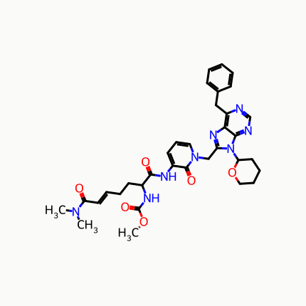 COC(=O)NC(CC/C=C/C(=O)N(C)C)C(=O)Nc1cccn(Cc2nc3c(Cc4ccccc4)ncnc3n2C2CCCCO2)c1=O